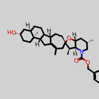 CC1=C2C[C@H]3C(CC[C@@H]4C[C@@H](O)CC[C@@]43C)[C@@H]2CC[C@@]2(C1)O[C@@H]1C[C@H](C)CN(C(=O)OCc3ccccc3)[C@H]1[C@H]2C